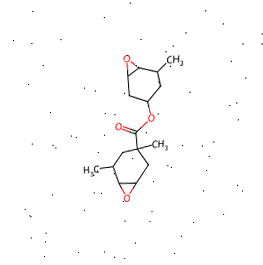 CC1CC(OC(=O)C2(C)CC(C)C3OC3C2)CC2OC12